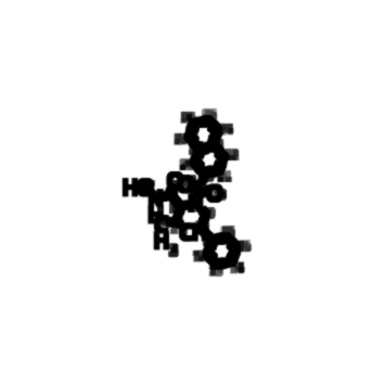 CC(C)C(C(=O)NO)N(CCc1ccccc1)S(=O)(=O)c1ccc2ccccc2c1